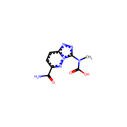 CN(C(=O)O)c1nnc2ccc(C(N)=O)nn12